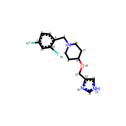 Fc1ccc(CN2CCC(OCc3c[nH]cn3)CC2)c(F)c1